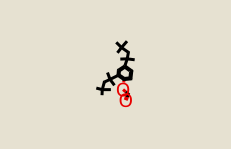 CC(C)(C)CC(C)(C)c1ccc(OC=O)c(C(C)(C)CC(C)(C)C)c1